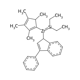 CC[Si](CC)=[Zr]([C]1=C(C)C(C)=C(C)C1C)[CH]1C=C(c2ccccc2)c2ccccc21